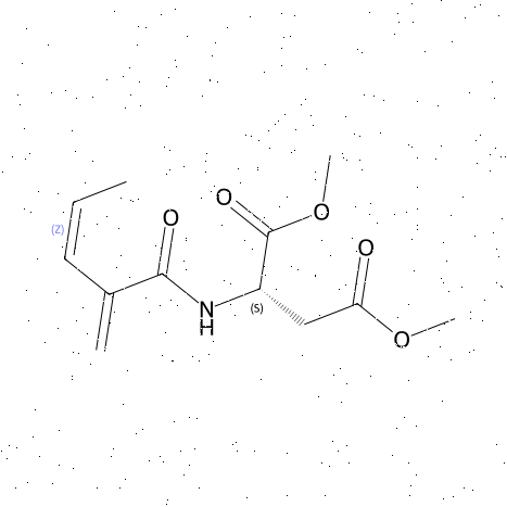 C=C(/C=C\C)C(=O)N[C@@H](CC(=O)OC)C(=O)OC